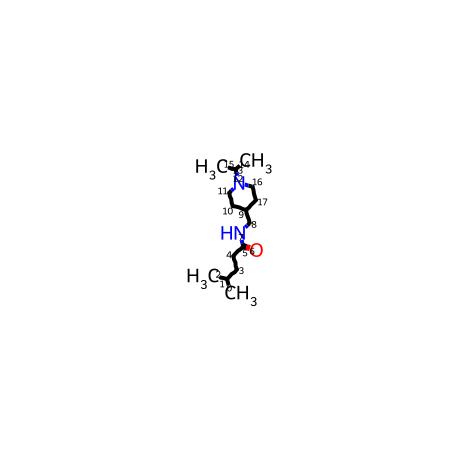 CC(C)CCC(=O)NCC1CCN(C(C)C)CC1